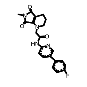 CN1C(=O)C2=C(C1=O)N(CC(=O)Nc1ccc(-c3ccc(F)cc3)cn1)CCC2